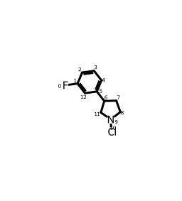 Fc1cccc(C2CCN(Cl)C2)c1